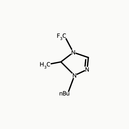 CCCCN1N=CN(C(F)(F)F)C1C